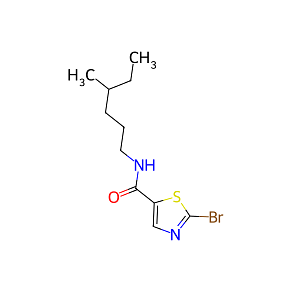 CCC(C)CCCNC(=O)c1cnc(Br)s1